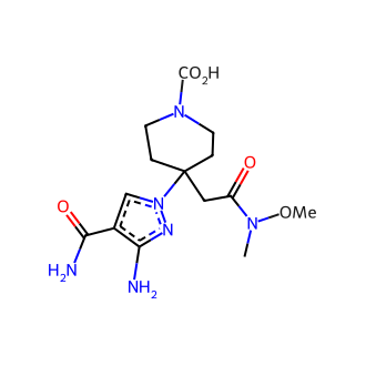 CON(C)C(=O)CC1(n2cc(C(N)=O)c(N)n2)CCN(C(=O)O)CC1